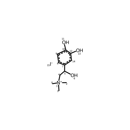 C[N+](C)(C)CC(O)c1ccc(O)c(O)c1.[I-]